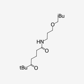 CCC(C)COCCCNC(=O)CCCC(=O)C(C)(C)C